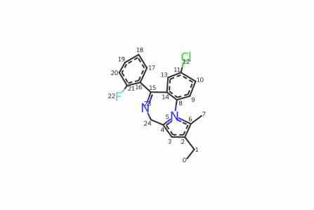 CCc1cc2n(c1C)-c1ccc(Cl)cc1C(c1ccccc1F)=NC2